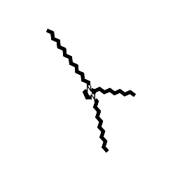 CCCCCCCCCCCCCCN1C=CN(CCCCCCCCCCC)C1CCCCCCCC